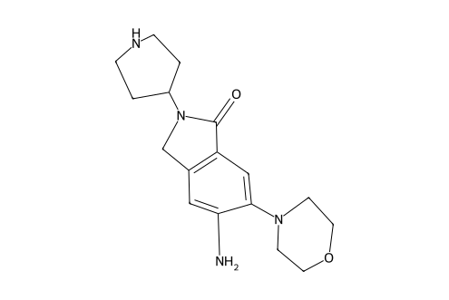 Nc1cc2c(cc1N1CCOCC1)C(=O)N(C1CCNCC1)C2